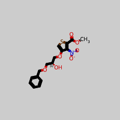 COC(=O)c1scc(OC[C@@H](O)COCc2ccccc2)c1[N+](=O)[O-]